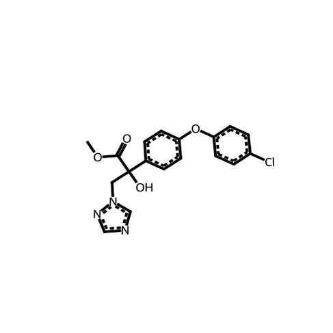 COC(=O)C(O)(Cn1cncn1)c1ccc(Oc2ccc(Cl)cc2)cc1